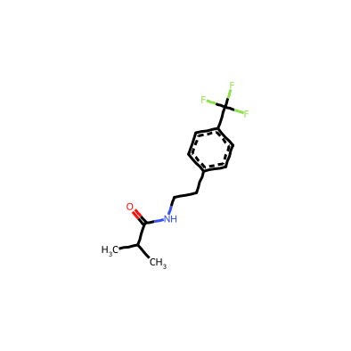 CC(C)C(=O)NCCc1ccc(C(F)(F)F)cc1